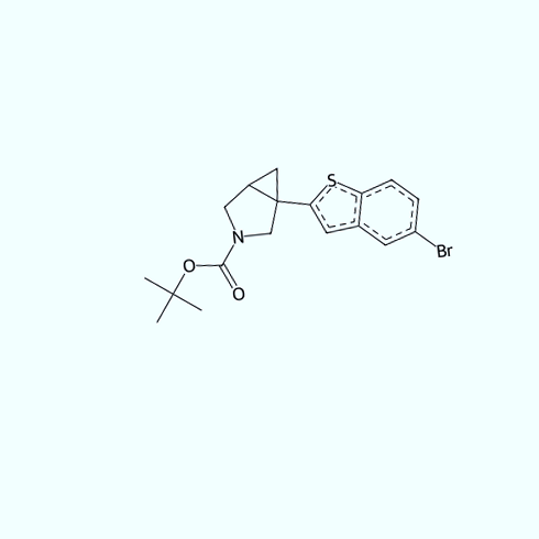 CC(C)(C)OC(=O)N1CC2CC2(c2cc3cc(Br)ccc3s2)C1